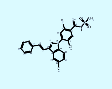 CS(=O)(=O)NC(=O)c1cc(Cl)c(-n2nc(C=Cc3ccccc3)c3cc(Cl)ccc32)cc1F